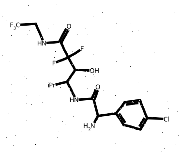 CC(C)C(NC(=O)C(N)c1ccc(Cl)cc1)C(O)C(F)(F)C(=O)NCC(F)(F)F